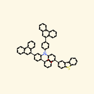 c1ccc(-c2ccc(-c3cc4ccccc4c4ccccc34)cc2N(c2ccc(-c3ccc4sc5ccccc5c4c3)cc2)c2ccc(-c3cc4ccccc4c4ccccc34)cc2)cc1